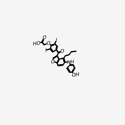 CCCCc1c(Nc2ccc(O)cc2)ccc2occ(C(=O)c3cc(I)c(OCC(=O)O)c(I)c3)c12